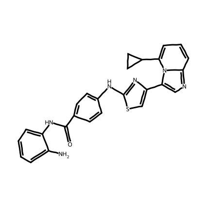 Nc1ccccc1NC(=O)c1ccc(Nc2nc(-c3cnc4cccc(C5CC5)n34)cs2)cc1